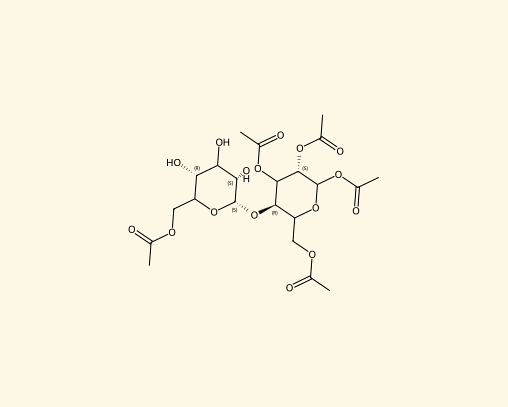 CC(=O)OCC1O[C@@H](O[C@@H]2C(COC(C)=O)OC(OC(C)=O)[C@@H](OC(C)=O)C2OC(C)=O)[C@@H](O)C(O)[C@H]1O